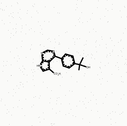 CC(C)(O)c1ccc(-c2ncnc3[nH]cc(C(=O)O)c23)cc1